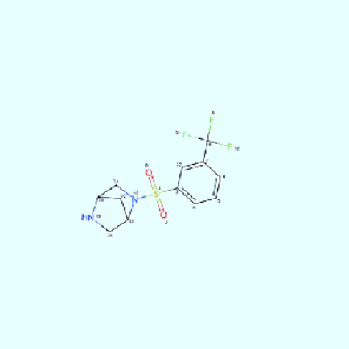 O=S(=O)(c1cccc(C(F)(F)F)c1)N1CC2CC1CN2